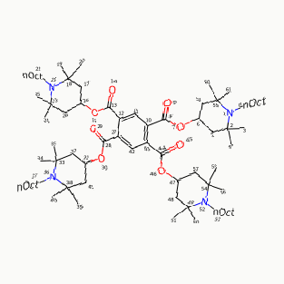 CCCCCCCCN1C(C)(C)CC(OC(=O)c2cc(C(=O)OC3CC(C)(C)N(CCCCCCCC)C(C)(C)C3)c(C(=O)OC3CC(C)(C)N(CCCCCCCC)C(C)(C)C3)cc2C(=O)OC2CC(C)(C)N(CCCCCCCC)C(C)(C)C2)CC1(C)C